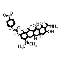 CN(C)c1cc(NC(=O)Nc2ccc([N+](=O)[O-])cc2)c(O)c2c1C[C@H]1C[C@H]3CC(O)=C(C(N)=O)C(=O)[C@@]3(O)C(O)=C1C2=O